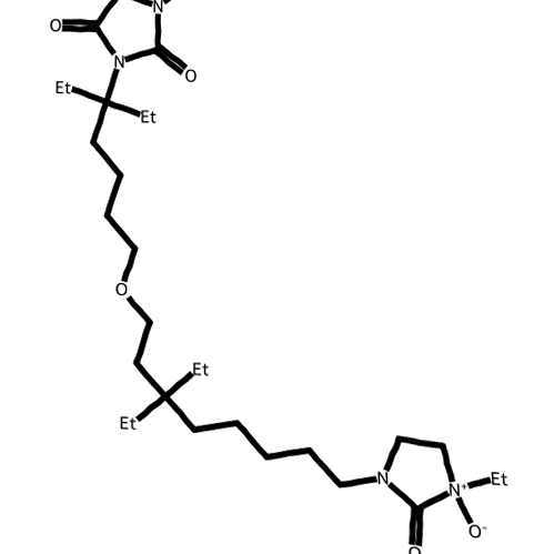 CCN1CC(=O)N(C(CC)(CC)CCCCOCCC(CC)(CC)CCCCCN2CC[N+]([O-])(CC)C2=O)C1=O